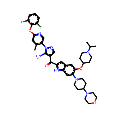 Cc1cc(Oc2c(F)cccc2F)ncc1-n1ncc(C(=O)c2cc3cc(OC4CCN(C(C)C)CC4)c(N4CCC(N5CCOCC5)CC4)cc3[nH]2)c1N